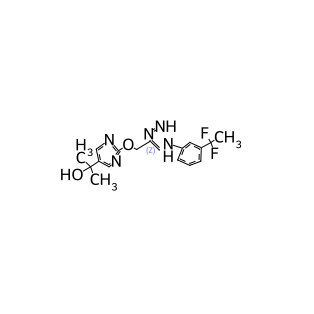 CC(C)(O)c1cnc(OC/C(=C/Nc2cccc(C(C)(F)F)c2)N=N)nc1